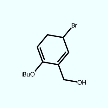 CC(C)COC1=CCC(Br)C=C1CO